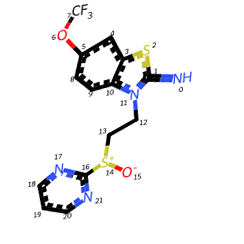 N=c1sc2cc(OC(F)(F)F)ccc2n1CC[S+]([O-])c1ncccn1